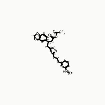 CCNc1cccc(CCCc2noc(CC(CC(=O)OC(=O)C(F)(F)F)c3ccc4c(c3)OCO4)n2)n1